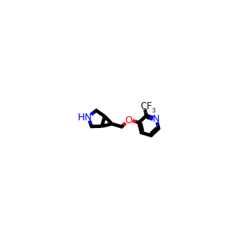 FC(F)(F)c1ncccc1OCC1C2CNCC21